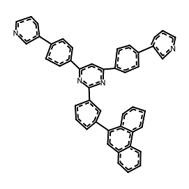 c1cncc(-c2ccc(-c3cc(-c4ccc(-c5cccnc5)cc4)nc(-c4cccc(-c5cc6ccccc6c6ccccc56)c4)n3)cc2)c1